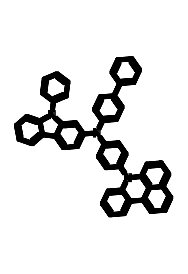 c1ccc(-c2ccc(N(c3ccc(N4c5ccccc5-c5cccc6cccc4c56)cc3)c3ccc4c5ccccc5n(-c5ccccc5)c4c3)cc2)cc1